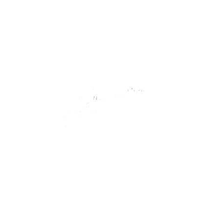 CCCCCCCCCCCCN(C)S(=O)(=O)c1ccc(C)cc1